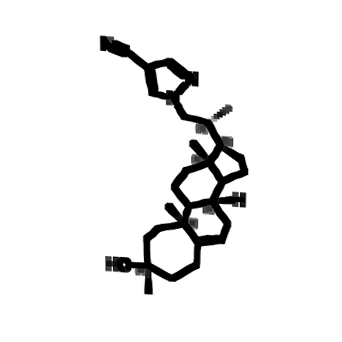 C[C@@H](Cn1cc(C#N)cn1)[C@H]1CCC2[C@@H]3CC=C4CC[C@](C)(O)CC[C@]4(C)C3CC[C@@]21C